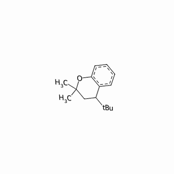 CC1(C)CC(C(C)(C)C)c2ccccc2O1